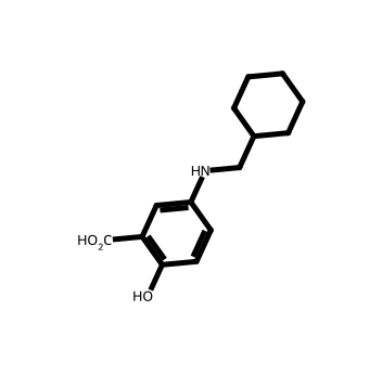 O=C(O)c1cc(NCC2CCCCC2)ccc1O